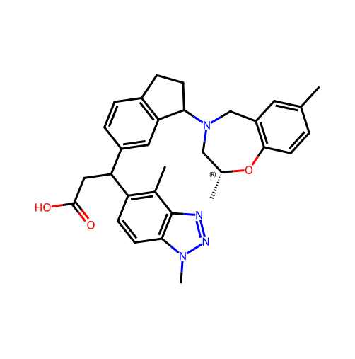 Cc1ccc2c(c1)CN(C1CCc3ccc(C(CC(=O)O)c4ccc5c(nnn5C)c4C)cc31)C[C@@H](C)O2